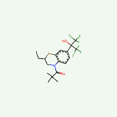 CCC1CN(C(=O)C(C)(C)C)c2ccc(C(O)(C(F)(F)F)C(F)(F)F)cc2S1